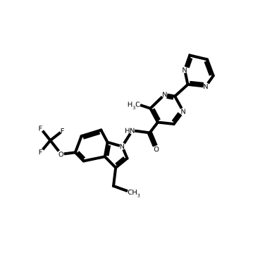 CCc1cn(NC(=O)c2cnc(-c3ncccn3)nc2C)c2ccc(OC(F)(F)F)cc12